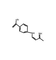 C=C(CCC)c1ccc(N/C=C\C(C)=N)cc1